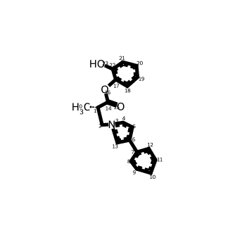 C[C@@H](Cn1ccc(-c2ccccc2)c1)C(=O)Oc1ccccc1O